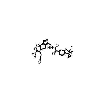 CNC(=O)C(CCC=O)N1Cc2c(csc2CNC(=O)C(=O)c2ccc(C3(C(F)(F)F)CC3)cc2)C1=O